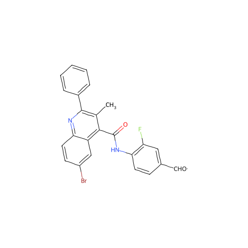 Cc1c(-c2ccccc2)nc2ccc(Br)cc2c1C(=O)Nc1ccc([C]=O)cc1F